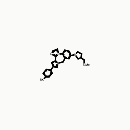 CNCC1CCN(c2ccc3c(c2)Cn2cc(-c4ccc(C#N)cc4)cc2-c2nccn2-3)C1